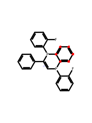 Fc1ccccc1P(/C=C(/c1ccccc1)P(c1ccccc1)c1ccccc1F)c1ccccc1